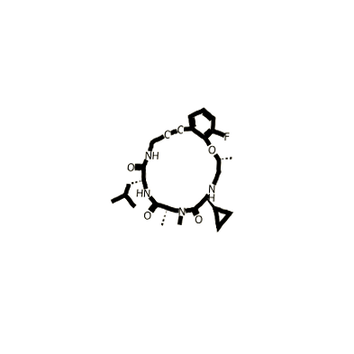 CC(C)C[C@H]1NC(=O)[C@@H](C)N(C)C(=O)[C@H](C2CC2)NC[C@@H](C)Oc2c(F)cccc2CCCNC1=O